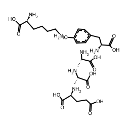 C[C@H](N)C(=O)O.C[C@H](N)C(=O)O.NCCCC[C@H](N)C(=O)O.N[C@@H](CCC(=O)O)C(=O)O.N[C@@H](Cc1ccc(O)cc1)C(=O)O